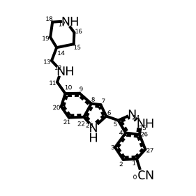 N#Cc1ccc2c(-c3cc4cc(CNCC5CCNCC5)ccc4[nH]3)n[nH]c2c1